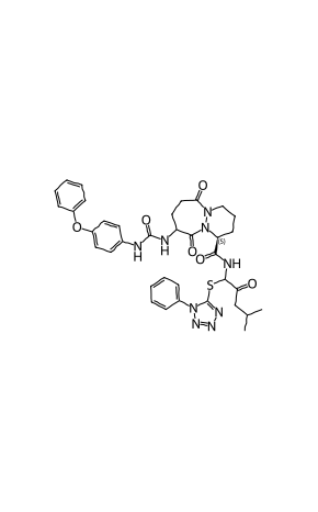 CC(C)CC(=O)C(NC(=O)[C@@H]1CCCN2C(=O)CCC(NC(=O)Nc3ccc(Oc4ccccc4)cc3)C(=O)N12)Sc1nnnn1-c1ccccc1